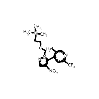 C[Si](C)(C)CCOCn1ncc([N+](=O)[O-])c1-c1cc(C(F)(F)F)ncc1N